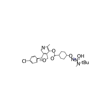 Cc1ncc2c(c1OC(=O)C1CCC(O/N=[N+](\O)N(C)C(C)(C)C)CC1)CO[C@H]2c1ccc(Cl)cc1